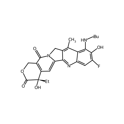 CCC(C)Nc1c(O)c(F)cc2nc3c(c(C)c12)Cn1c-3cc2c(c1=O)COC(=O)[C@]2(O)CC